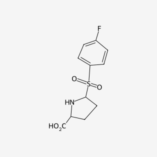 O=C(O)C1CCC(S(=O)(=O)c2ccc(F)cc2)N1